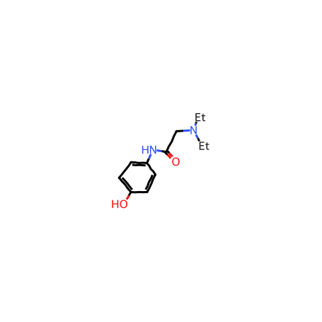 CCN(CC)CC(=O)Nc1ccc(O)cc1